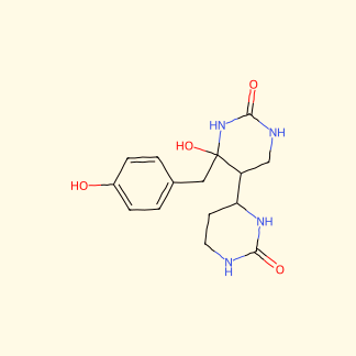 O=C1NCCC(C2CNC(=O)NC2(O)Cc2ccc(O)cc2)N1